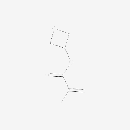 C=C(C)C(=O)OC1COC1